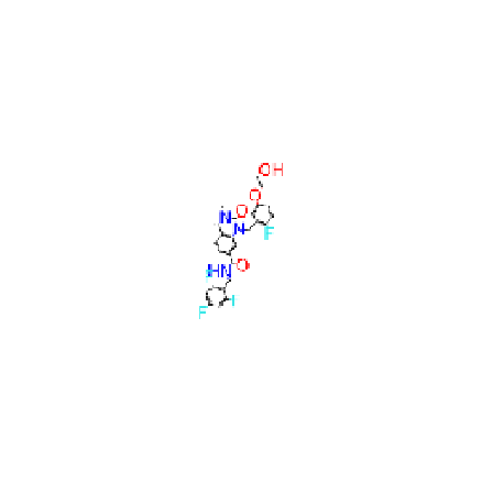 C[C@H]1c2ccc(C(=O)NCc3c(F)cc(F)cc3F)cc2N(Cc2cc(OCCO)ccc2F)C(=O)N1C